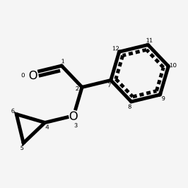 O=CC(OC1CC1)c1ccccc1